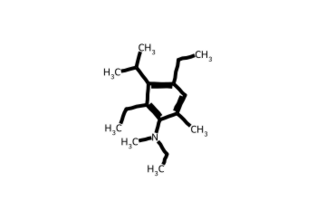 CCc1cc(C)c(N(C)CC)c(CC)c1C(C)C